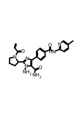 C=CC(=O)N1CCCC1c1nc(-c2ccc(C(=O)Nc3ccc(C)cn3)cc2)c(C(N)=O)n1N